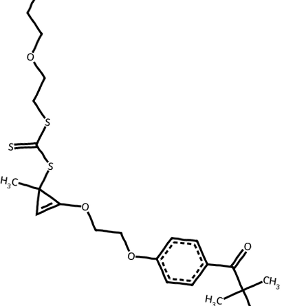 CC(C)(O)C(=O)c1ccc(OCCOC2=CC2(C)SC(=S)SCCOCCO)cc1